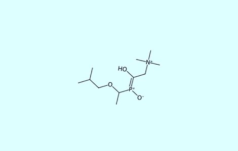 CC(C)COC(C)/[P+]([O-])=C(\O)C[N+](C)(C)C